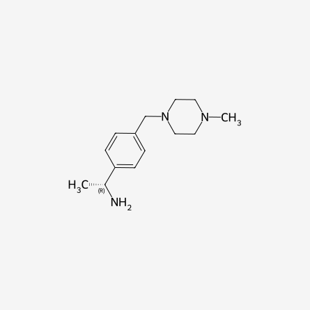 C[C@@H](N)c1ccc(CN2CCN(C)CC2)cc1